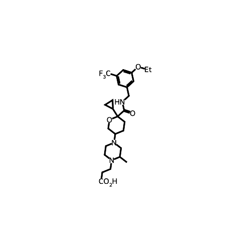 CCOc1cc(CNC(=O)C2(C3CC3)CCC(N3CCN(CCC(=O)O)C(C)C3)CO2)cc(C(F)(F)F)c1